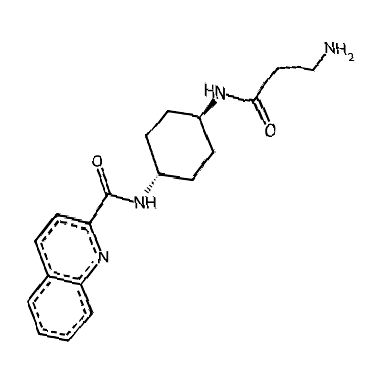 NCCC(=O)N[C@H]1CC[C@H](NC(=O)c2ccc3ccccc3n2)CC1